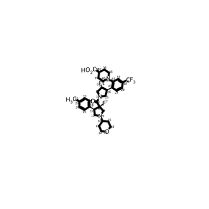 CC[C@H]1CN(C(=O)[C@]2(F)CN(C3CCOCC3)C[C@H]2c2ccc(C)cc2)C[C@@H]1c1ccc(C(F)(F)F)cc1N1CCC(C(=O)O)CC1